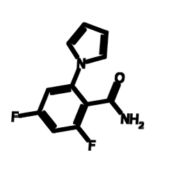 NC(=O)c1c(F)cc(F)cc1-n1cccc1